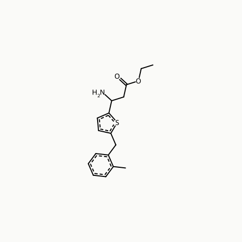 CCOC(=O)CC(N)c1ccc(Cc2ccccc2C)s1